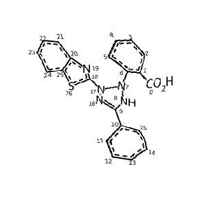 O=C(O)c1ccccc1N1NC(c2ccccc2)=NN1c1nc2ccccc2s1